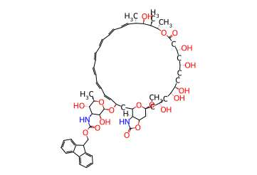 CO[C@]12CC3OC(=O)N[C@H]3C(C[C@@H](O[C@@H]3O[C@H](C)[C@@H](O)[C@H](NC(=O)OCC4c5ccccc5-c5ccccc54)[C@@H]3O)/C=C/C=C/C=C/C=C/C=C/C=C/C=C/[C@H](C)[C@@H](O)[C@@H](C)[C@H](C)OC(=O)C[C@H](O)C[C@H](O)CC[C@@H](O)[C@H](O)C[C@H](O)C1)O2